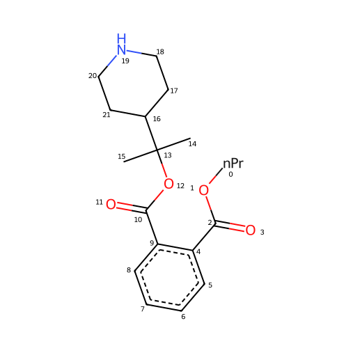 CCCOC(=O)c1ccccc1C(=O)OC(C)(C)C1CCNCC1